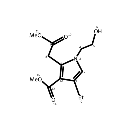 CCc1cn(CCO)c(CC(=O)OC)c1C(=O)OC